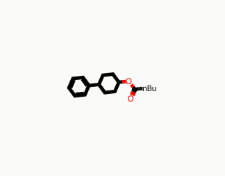 CCCCC(=O)OC1CCC(c2ccccc2)CC1